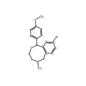 COc1ccc(C2OCCN(C)Cc3ccc(Br)cc32)cc1